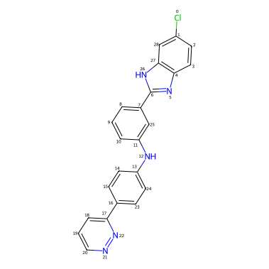 Clc1ccc2nc(-c3cccc(Nc4ccc(-c5cccnn5)cc4)c3)[nH]c2c1